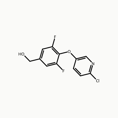 OCc1cc(F)c(Oc2ccc(Cl)nc2)c(F)c1